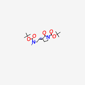 CN(C/C=C1\CCN(C(=O)OC(C)(C)C)C1=O)C(=O)OC(C)(C)C